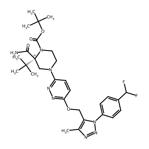 Cc1nnn(-c2ccc(C(F)F)cc2)c1COc1ccc(N2CCN(C(=O)OC(C)(C)C)[C@@](C(N)=O)(C(C)(C)C)C2)nn1